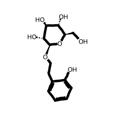 OC[C@H]1O[C@@H](OCCc2ccccc2O)[C@H](O)[C@@H](O)[C@@H]1O